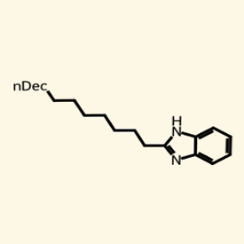 CCCCCCCCCCCCCCCCCc1nc2ccccc2[nH]1